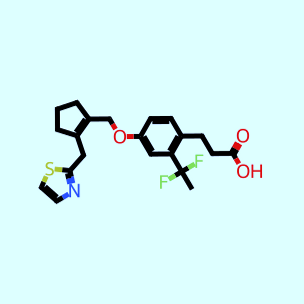 CC(F)(F)c1cc(OCC2=C(Cc3nccs3)CCC2)ccc1CCC(=O)O